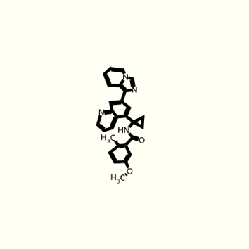 COc1ccc(C)c(C(=O)NC2(c3cc(-c4ncn5ccccc45)cc4ncccc34)CC2)c1